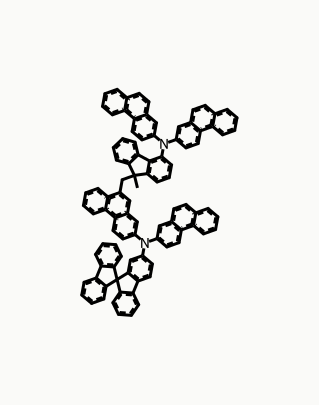 CC1(Cc2cc3cc(N(c4ccc5c(c4)C4(c6ccccc6-c6ccccc64)c4ccccc4-5)c4ccc5c(ccc6ccccc65)c4)ccc3c3ccccc23)c2ccccc2-c2c(N(c3ccc4c(ccc5ccccc54)c3)c3ccc4c(ccc5ccccc54)c3)cccc21